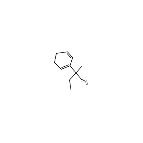 CCC(C)(P)C1=CCCC=C1